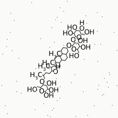 CC(CCC1OC2CC3C4CCC5CC(OC6OC(CO)C(O)C(O)C6OC6OC(CO)C(O)C(O)C6O)CC[C@]5(C)C4CC[C@]3(C)[C@H]2[C@@H]1C)COC1C(CO)OC(O)C(O)C1O